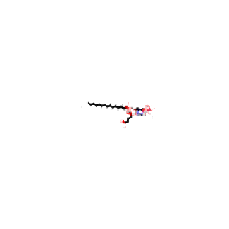 CCCCCCCCCCCCCCCC(=O)OC[C@@H](CC(COP(=O)([O-])O)[N+](C)(C)C)OC(=O)CCCC(=O)O